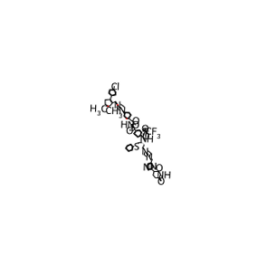 CC1(C)CCC(c2ccc(Cl)cc2)=C(CN2CCN(c3ccc(C(=O)NS(=O)(=O)c4ccc(N[C@H](CCN5CCN(Cc6cncc(C7CCC(=O)NC7=O)n6)CC5)CSc5ccccc5)c(S(=O)(=O)C(F)(F)F)c4)cc3)CC2)C1